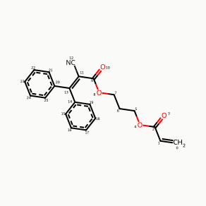 C=CC(=O)OCCCOC(=O)C(C#N)=C(c1ccccc1)c1ccccc1